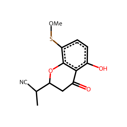 COSc1ccc(O)c2c1OC(C(C)C#N)CC2=O